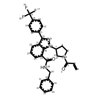 C=CC(=O)N1CCC(n2nc(-c3ccc(C(F)(F)F)cc3)c3cccc(C(=O)NCc4ccccc4)c32)C1